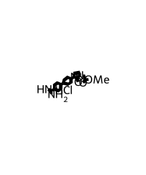 COC(=O)Cn1ccn(-c2ccc(-c3ccc(C(=N)N)cc3)cc2)c1=O.Cl